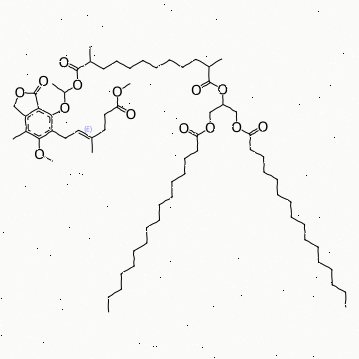 CCCCCCCCCCCCCCCC(=O)OCC(COC(=O)CCCCCCCCCCCCCCC)OC(=O)C(C)CCCCCCCCC(C)C(=O)OC(C)Oc1c(C/C=C(\C)CCC(=O)OC)c(OC)c(C)c2c1C(=O)OC2